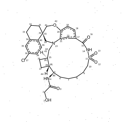 O=C(CO)N[C@@H]1CCCCCS(=O)(=O)NC(=O)c2ccc3c(c2)N(C[C@@H]2CC[C@H]21)C[C@@]1(CCCc2cc(Cl)ccc21)CO3